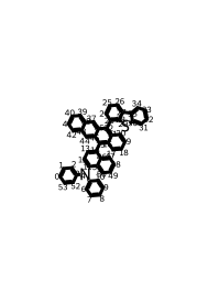 c1ccc(N(c2ccccc2)c2ccc(-c3c4ccccc4c(-c4cccc5c4sc4ccccc45)c4cc5ccccc5cc34)c3ccccc23)cc1